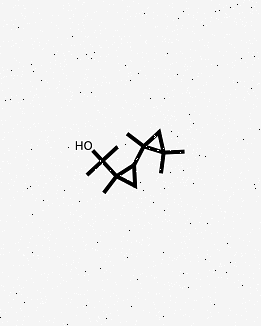 CC(C)(O)C1(C)CC1C1(C)CC1(C)C